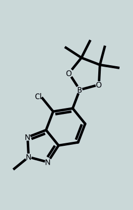 Cn1nc2ccc(B3OC(C)(C)C(C)(C)O3)c(Cl)c2n1